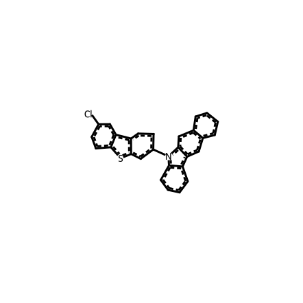 Clc1ccc2sc3cc(-n4c5ccccc5c5cc6ccccc6cc54)ccc3c2c1